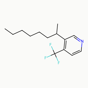 CCCCCCC(C)c1cnccc1C(F)(F)F